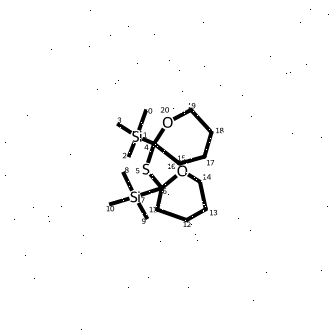 C[Si](C)(C)C1(SC2([Si](C)(C)C)CCCCO2)CCCCO1